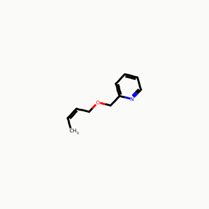 C/C=C\COCc1ccccn1